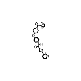 O=C(Nc1ccc(OC2CCN(C(=O)c3nccs3)CC2)cc1)C1CN(c2cccnn2)C1